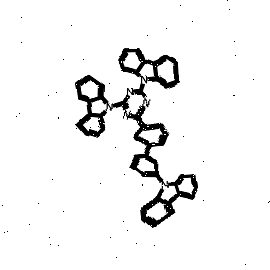 c1cc(-c2cccc(-n3c4ccccc4c4ccccc43)c2)cc(-c2nc(-n3c4ccccc4c4ccccc43)nc(-n3c4ccccc4c4ccccc43)n2)c1